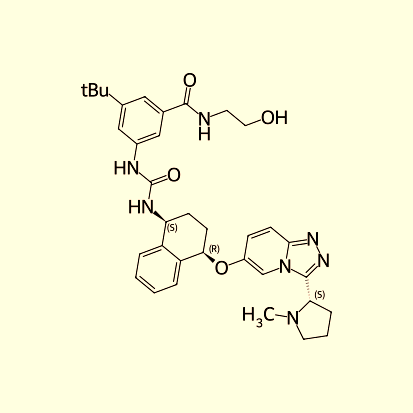 CN1CCC[C@H]1c1nnc2ccc(O[C@@H]3CC[C@H](NC(=O)Nc4cc(C(=O)NCCO)cc(C(C)(C)C)c4)c4ccccc43)cn12